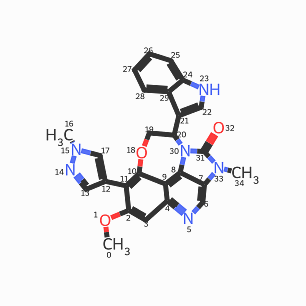 COc1cc2ncc3c4c2c(c1-c1cnn(C)c1)OCC(c1c[nH]c2ccccc12)n4c(=O)n3C